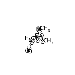 CC(=O)COC(=O)C1=C(CSc2nnc(C)s2)S[C@@H]2[C@@H](C(C)OC(=O)OCc3ccc([N+](=O)[O-])cc3)C(=O)N12